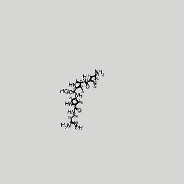 Cc1c(NC(=O)c2[nH]cc(NC(=O)c3cc(N)cn3C)c2C)c[nH]c1C(=O)NCCC(N)=NO.Cl